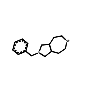 c1ccc(CN2CC3CCNCCC3C2)cc1